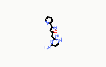 NC1=NC(N)(Cc2cc(-c3ccccn3)no2)NC=C1